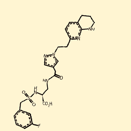 O=C(NC[C@H](NS(=O)(=O)Cc1cccc(F)c1)C(=O)O)c1cnn(CCc2ccc3c(n2)NCCC3)c1